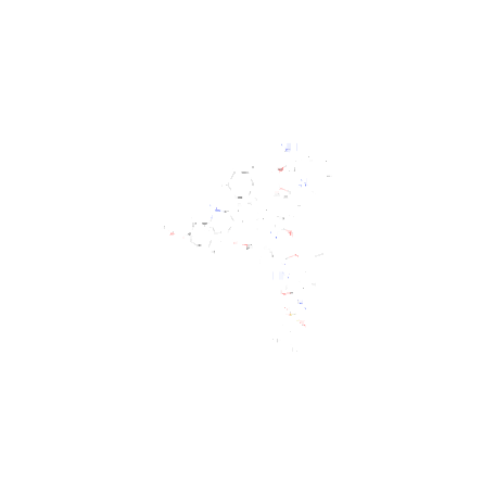 C=CC1CC1(NC(=O)[C@@H]1C[C@@H](Oc2cc(-c3ccccc3)nc3cc(OC)ccc23)CN1C(=O)[C@@H](CC(=O)N1CCCCC1C(N)=O)C(C)(C)C)C(=O)NS(=O)(=O)C1CC1